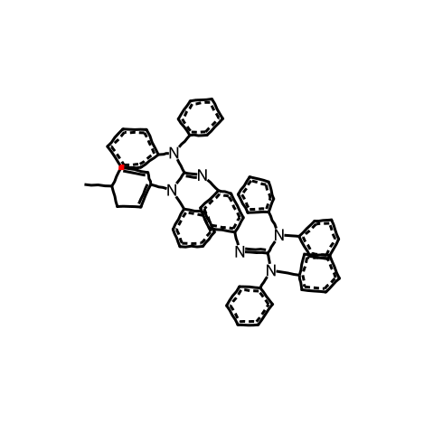 CC1C=CC(N(/C(=N\c2ccc(N=C(N(c3ccccc3)c3ccccc3)N(c3ccccc3)c3ccccc3)cc2)N(c2ccccc2)c2ccccc2)c2ccccc2)=CC1